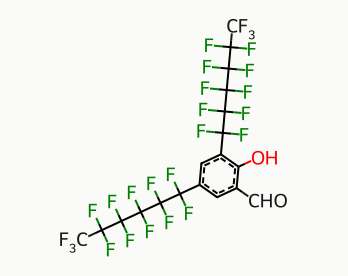 O=Cc1cc(C(F)(F)C(F)(F)C(F)(F)C(F)(F)C(F)(F)C(F)(F)F)cc(C(F)(F)C(F)(F)C(F)(F)C(F)(F)C(F)(F)C(F)(F)F)c1O